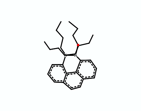 CCCCN(CCCC)c1cccc2ccc3cccc(N(CCCC)CCCC)c3c12